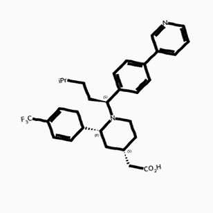 CC(C)CC[C@@H](c1ccc(-c2cccnc2)cc1)N1CC[C@H](CC(=O)O)C[C@@H]1C1C=CC(C(F)(F)F)=CC1